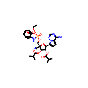 CCOC(=O)C(C)NP(=O)(OC[C@@]1(C#N)O[C@@H](c2ccc3c(N)ncnn23)[C@H](OC(=O)C(C)C)[C@@H]1OC(=O)C(C)C)Oc1ccccc1